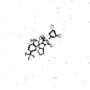 O=C1C2C3CCCN3C3(c4cc(C(F)(F)F)ccc4NC3O)C2C(=O)N1c1cc(Cl)cc(Cl)c1